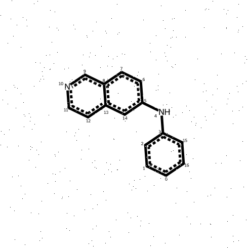 c1ccc(Nc2ccc3cnccc3c2)cc1